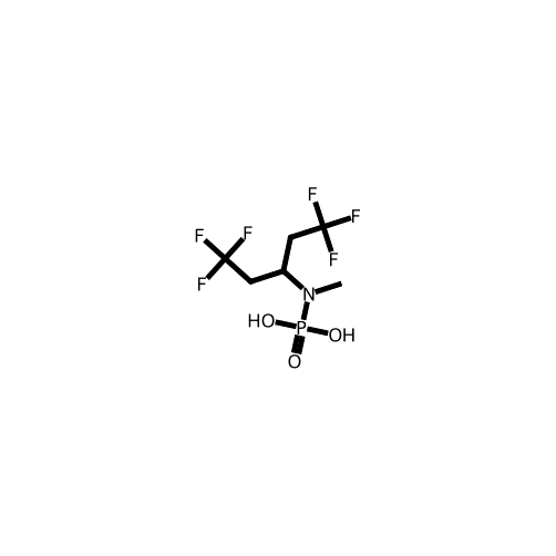 CN(C(CC(F)(F)F)CC(F)(F)F)P(=O)(O)O